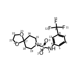 O=S(=O)(Nc1cccc(C(F)(F)F)c1)N1CCC2(CC1)OCCO2